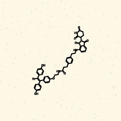 CCC(=C(c1ccc(O)cc1)c1ccc(OCCNC(=O)CCc2ccc(CCNc3cccc4c3C(=O)N(C3CCC(=O)NC3=O)C4=O)cc2)cc1)c1ccc(O)cc1